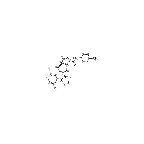 CN1CCC(NC(=O)c2cnn3ccc(N4CCC[C@@H]4c4cc(F)ccc4F)cc23)CC1